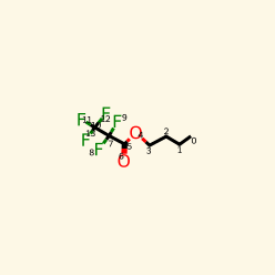 CCCCOC(=O)C(F)(F)C(F)(F)F